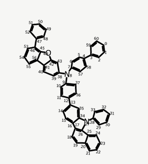 c1ccc(-c2ccc(N(c3ccc(-c4ccc5c6ccc7ccccc7c6n(-c6ccccc6)c5c4)cc3)c3ccc4c(c3)oc3c(-c5ccccc5)cccc34)cc2)cc1